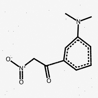 CN(C)c1cccc(C(=O)C[N+](=O)[O-])c1